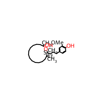 CCC1(C)CCCCCCCCCCCCC(C)(O)O[Si]1(C)CCCc1ccc(O)c(OC)c1